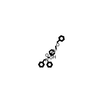 O=C(O[C@H]1C[N+]2(CCOCc3ccccc3)CCC1CC2)N(Cc1ccccc1)c1ccccc1